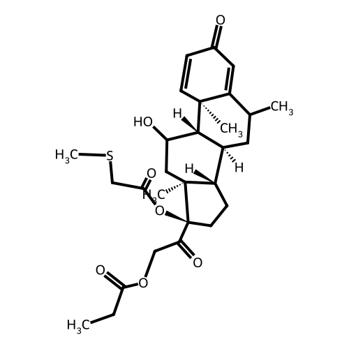 CCC(=O)OCC(=O)[C@@]1(OC(=O)CSC)CC[C@H]2[C@@H]3CC(C)C4=CC(=O)C=C[C@]4(C)[C@H]3C(O)C[C@@]21C